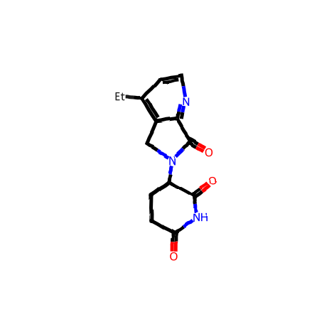 CCc1ccnc2c1CN(C1CCC(=O)NC1=O)C2=O